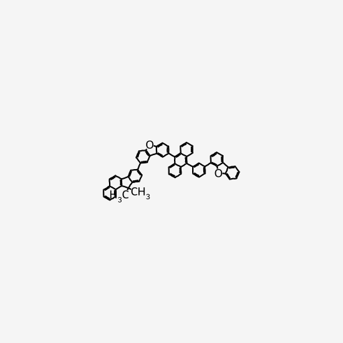 CC1(C)c2ccc(-c3ccc4oc5ccc(-c6c7ccccc7c(-c7cccc(-c8cccc9c8oc8ccccc89)c7)c7ccccc67)cc5c4c3)cc2-c2ccc3ccccc3c21